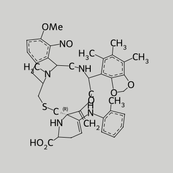 C=C1OCC(c2c(C)c(C)c(C)c3c2OCO3)NCC2c3c(ccc(OC)c3N=O)CC(CSC[C@]13NC(C(=O)O)CC=C3Nc1ccccc1C)N2C